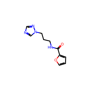 O=C(NCCCn1cncn1)c1ccco1